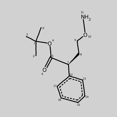 CC(C)(C)OC(=O)[C@@H](CCON)c1ccccc1